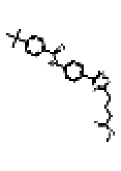 COC(=O)CCCc1nnc(-c2ccc(NC(=O)c3ccc(C(C)(C)C)cc3)cc2)s1